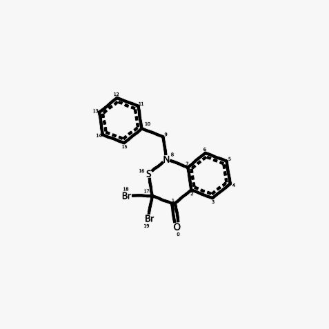 O=C1c2ccccc2N(Cc2ccccc2)SC1(Br)Br